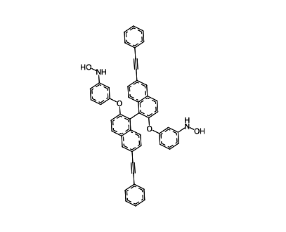 ONc1cccc(Oc2ccc3cc(C#Cc4ccccc4)ccc3c2-c2c(Oc3cccc(NO)c3)ccc3cc(C#Cc4ccccc4)ccc23)c1